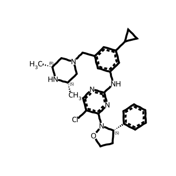 C[C@@H]1CN(Cc2cc(Nc3ncc(Cl)c(N4OCC[C@H]4c4ccccc4)n3)cc(C3CC3)c2)C[C@H](C)N1